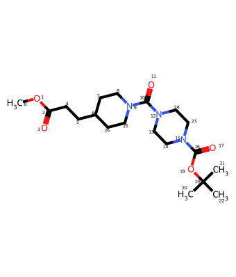 COC(=O)CCC1CCN(C(=O)N2CCN(C(=O)OC(C)(C)C)CC2)CC1